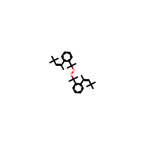 C/C(=C/C(C)(C)C)c1ccccc1C(C)(C)OOC(C)(C)c1ccccc1/C(C)=C\C(C)(C)C